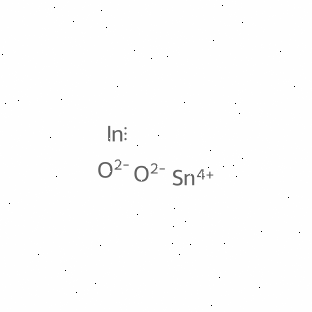 [In].[O-2].[O-2].[Sn+4]